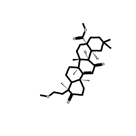 COCC[C@]1(C)C(=O)CC[C@]2(C)C3=CC(=O)[C@@H]4[C@@H]5CC(C)(C)CC[C@]5(C(=O)OC)CC[C@@]4(C)[C@]3(C)CCC12